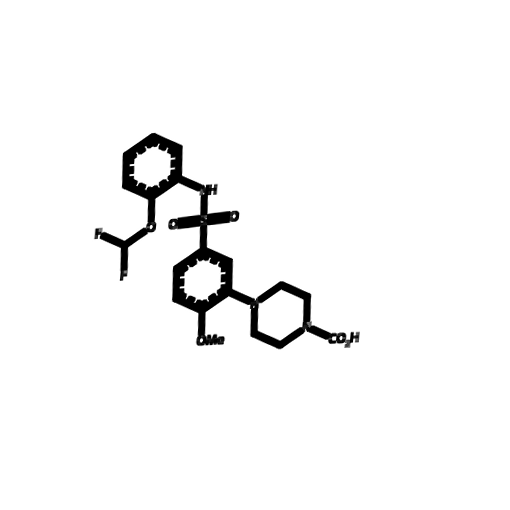 COc1ccc(S(=O)(=O)Nc2ccccc2OC(F)F)cc1N1CCN(C(=O)O)CC1